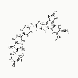 COc1cc(N2CC3CN(CC4CCN(c5ccc6c(c5)C(=O)N(C5CCC(=O)NC5=O)C6=O)CC4)CC3C2)c(-c2cnn(C)c2)cc1N